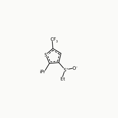 CC[S+]([O-])c1cc(C(F)(F)F)sc1C(C)C